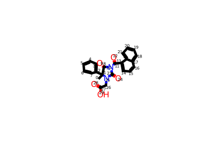 CC1(c2ccccc2)C(=O)N(C(=O)c2cccc3ccccc23)C(=O)N1CC(=O)O